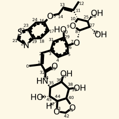 CC(=Cc1ccc(O[C@@H]2O[C@H](/C(C)=C\COc3ccc4ncsc4c3)[C@@H](O)[C@@H]2O)c(O)c1)C(=O)N[C@@H]1C(O)C(O)C2OCO[C@H]2[C@@H]1O